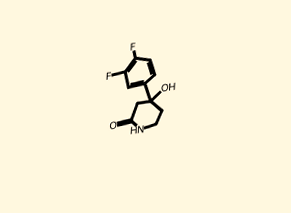 O=C1CC(O)(c2ccc(F)c(F)c2)CCN1